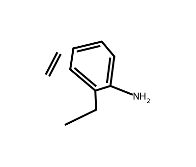 C=C.CCc1ccccc1N